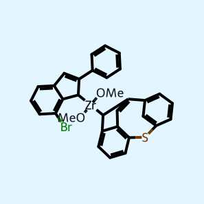 C[O][Zr]([O]C)([CH]1C2=Cc3c(cccc31)Sc1cccc2c1)[CH]1C(c2ccccc2)=Cc2cccc(Br)c21